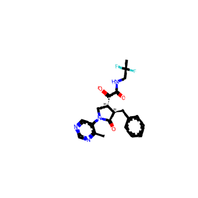 Cc1ncncc1N1C[C@H](C(=O)C(=O)NCC(C)(F)F)[C@@H](Cc2ccccc2)C1=O